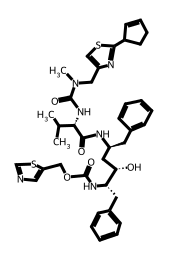 CC(C)[C@H](NC(=O)N(C)Cc1csc(C2C=CCC2)n1)C(=O)N[C@@H](Cc1ccccc1)C[C@H](O)[C@H](Cc1ccccc1)NC(=O)OCc1cncs1